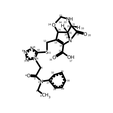 CCN(C(=O)Cn1nnnc1SCC1=C(C(=O)O)N2C(=O)[C@H]3NCOC1[C@H]32)c1ccccc1